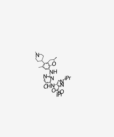 Cc1cc(Nc2ncc(Cl)c(Nc3cn(C(C)C)nc3S(=O)(=O)C(C)C)n2)c2c(c1C1CCN(C)CC1)C[C@@H](C)O2